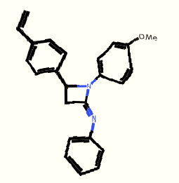 C=Cc1ccc(C2C/C(=N\c3ccccc3)N2c2ccc(OC)cc2)cc1